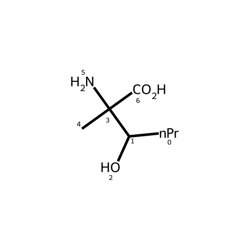 CCCC(O)C(C)(N)C(=O)O